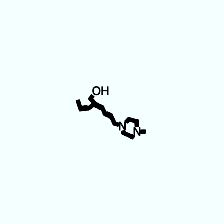 C\C=C/C(=C\C=C\CN1CCN(C)CC1)CO